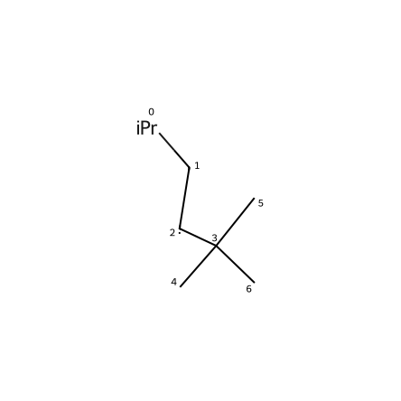 CC(C)C[CH]C(C)(C)C